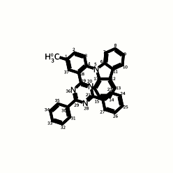 Cc1ccc(-n2c3ccccc3c3ccccc32)c(-c2nc(-c3ccccc3)nc(-c3ccccc3)n2)c1